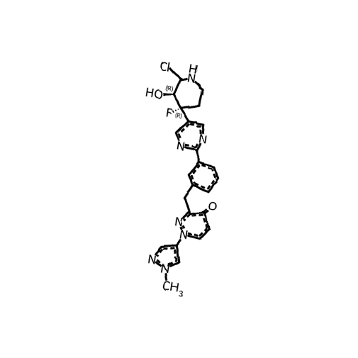 Cn1cc(-n2ccc(=O)c(Cc3cccc(-c4ncc([C@]5(F)CCNC(Cl)[C@@H]5O)cn4)c3)n2)cn1